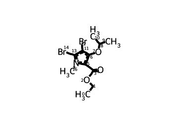 CCOC(=O)c1c(OC(C)C)c(Br)c(Br)n1C